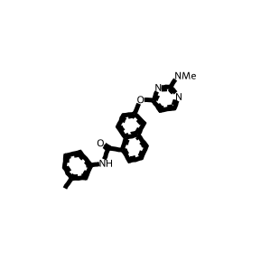 CNc1nccc(Oc2ccc3c(C(=O)Nc4cccc(C)c4)cccc3c2)n1